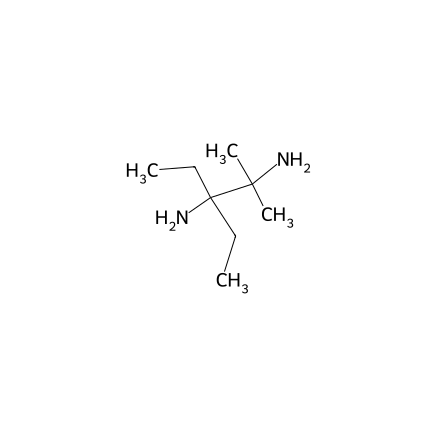 CCC(N)(CC)C(C)(C)N